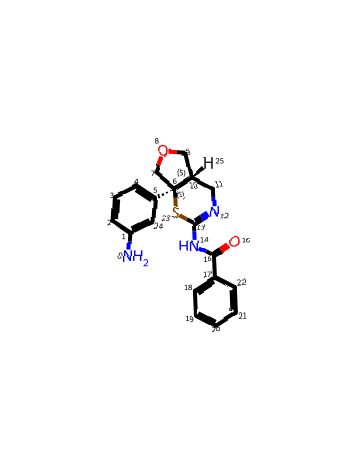 Nc1cccc([C@]23COC[C@@H]2CN=C(NC(=O)c2ccccc2)S3)c1